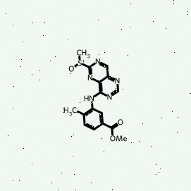 COC(=O)c1ccc(C)c(Nc2ncnc3cnc([S+](C)[O-])nc23)c1